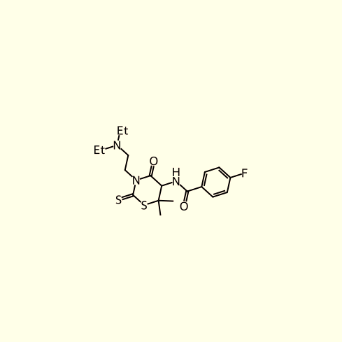 CCN(CC)CCN1C(=O)C(NC(=O)c2ccc(F)cc2)C(C)(C)SC1=S